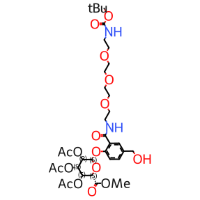 COC(=O)[C@H]1O[C@@H](Oc2ccc(CO)cc2C(=O)NCCOCCOCCOCCNC(=O)OC(C)(C)C)[C@H](OC(C)=O)[C@@H](OC(C)=O)[C@@H]1OC(C)=O